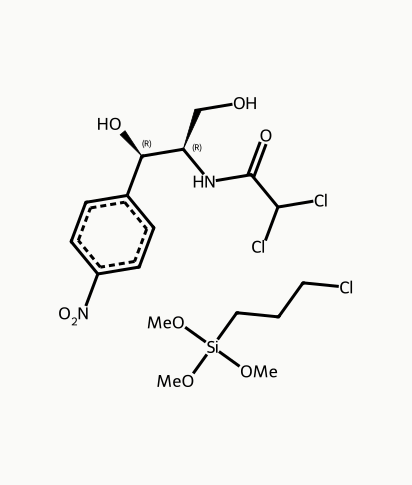 CO[Si](CCCCl)(OC)OC.O=C(N[C@H](CO)[C@H](O)c1ccc([N+](=O)[O-])cc1)C(Cl)Cl